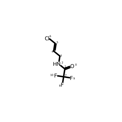 O=C(NCC=CCl)C(F)(F)F